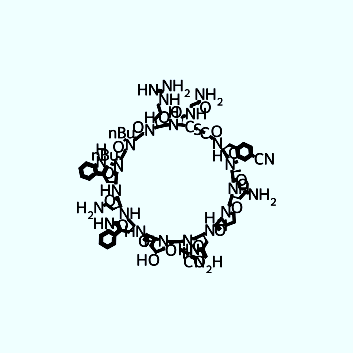 CCCC[C@H]1C(=O)N(C)[C@@H](CCCC)C(=O)N[C@@H](CCCNC(=N)N)C(=O)N[C@H](C(=O)NCC(N)=O)CSCC(=O)N[C@@H](Cc2ccc(C#N)cc2)C(=O)N(C)[C@@H](C)C(=O)N[C@@H](CC(N)=O)C(=O)N2CCC[C@H]2C(=O)N[C@@H](Cc2cnc[nH]2)C(=O)N[C@@H](CCC(=O)O)C(=O)N2C[C@H](O)C[C@H]2C(=O)N[C@@H](Cc2c[nH]c3ccccc23)C(=O)N[C@@H](CCN)C(=O)N[C@@H](Cc2c[nH]c3ccccc23)C(=O)N1C